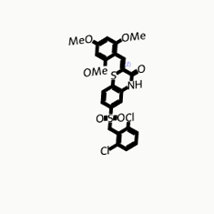 COc1cc(OC)c(/C=C2\Sc3ccc(S(=O)(=O)Cc4c(Cl)cccc4Cl)cc3NC2=O)c(OC)c1